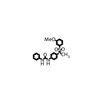 COc1cccc(S(=O)(=O)N(C)c2ccc(NC(=O)Nc3ccccc3)cc2)c1